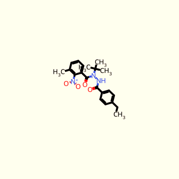 CCc1ccc(C(=O)NN(C(=O)c2cccc(C)c2[N+](=O)[O-])C(C)(C)C)cc1